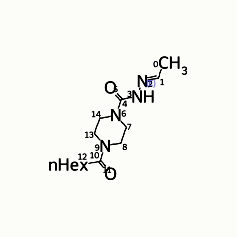 C/C=N/NC(=O)N1CCN(C(=O)CCCCCC)CC1